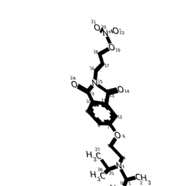 CC(C)N(CCOc1ccc2c(c1)C(=O)N(CCCO[N+](=O)[O-])C2=O)C(C)C